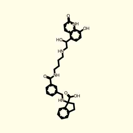 O=C(NCCCCNCC(O)c1ccc(O)c2[nH]c(=O)ccc12)c1cccc(CNC2(C(=O)O)CCc3ccccc32)c1